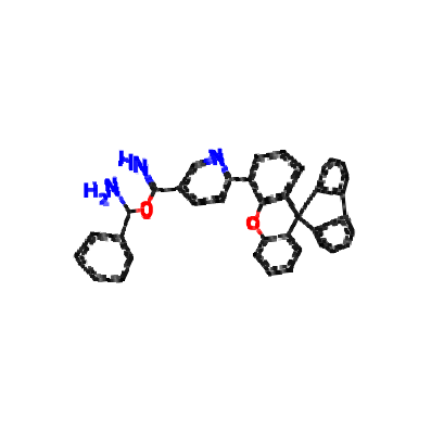 N=C(OC(N)c1ccccc1)c1ccc(-c2cccc3c2Oc2ccccc2C32c3ccccc3-c3ccccc32)nc1